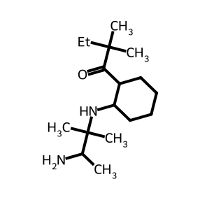 CCC(C)(C)C(=O)C1CCCCC1NC(C)(C)C(C)N